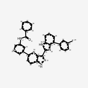 O=C(Nc1cncc(-c2ccc3[nH]nc(-c4nc5c(-c6cccc(F)c6)cccc5[nH]4)c3n2)c1)c1ccccc1